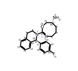 N[C@@H]1CCC/N=C(/N2CCc3ccccc3[C@@H]2c2ccc(F)cc2)OC1